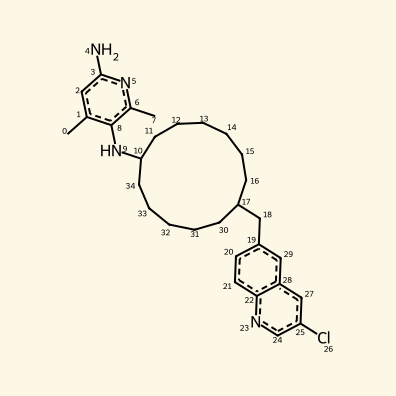 Cc1cc(N)nc(C)c1NC1CCCCCCC(Cc2ccc3ncc(Cl)cc3c2)CCCCC1